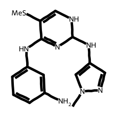 CSC1=CNC(Nc2cnn(C)c2)N=C1Nc1cccc(N)c1